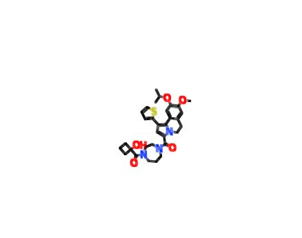 COc1cc2c(cc1OC(C)C)-c1c(-c3cccs3)cc(C(=O)N3CCCN(C(=O)C4(O)CCC4)CC3)n1CC2